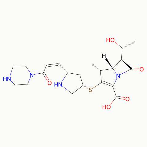 C[C@@H](O)[C@H]1C(=O)N2C(C(=O)O)=C(S[C@@H]3CN[C@H](/C=C\C(=O)N4CCNCC4)C3)[C@H](C)[C@H]12